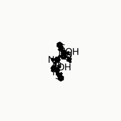 Cc1c(-c2cc(C(=O)O)c3c(OCc4ccc(Cc5ccc(OC6CC(C)C6)c6c(C(=O)O)cc(-c7sc8ccccc8c7C)nc56)cc4C#N)ccc(C)c3n2)sc2ccccc12